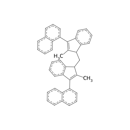 CC1=C(c2cccc3ccccc23)c2ccccc2C1CC1C(C)=C(c2cccc3ccccc23)c2ccccc21